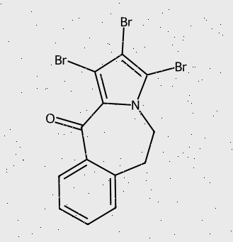 O=C1c2ccccc2CCn2c(Br)c(Br)c(Br)c21